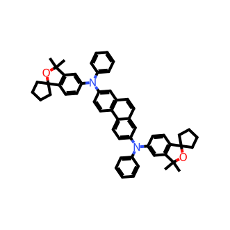 CC1(C)OC2(CCCC2)c2ccc(N(c3ccccc3)c3ccc4c(ccc5cc(N(c6ccccc6)c6ccc7c(c6)C(C)(C)OC76CCCC6)ccc54)c3)cc21